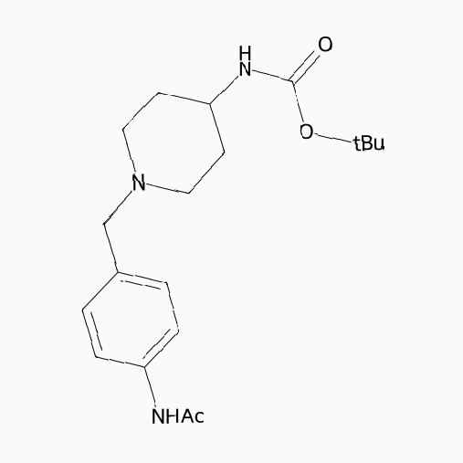 CC(=O)Nc1ccc(CN2CCC(NC(=O)OC(C)(C)C)CC2)cc1